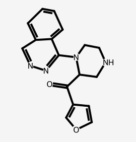 O=C(c1ccoc1)C1CNCCN1c1nncc2ccccc12